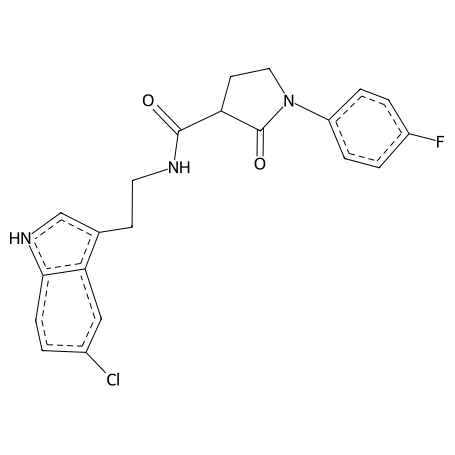 O=C(NCCc1c[nH]c2ccc(Cl)cc12)C1CCN(c2ccc(F)cc2)C1=O